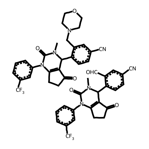 CN1C(=O)N(c2cccc(C(F)(F)F)c2)C2=C(C(=O)CC2)C1c1ccc(C#N)cc1C=O.CN1C(=O)N(c2cccc(C(F)(F)F)c2)C2=C(C(=O)CC2)C1c1ccc(C#N)cc1CN1CCOCC1